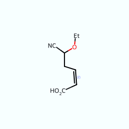 CCOC(C#N)C/C=C\C(=O)O